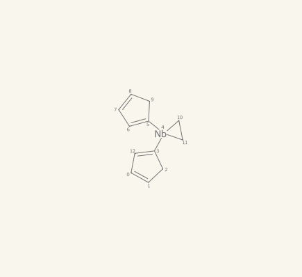 C1=CC[C]([Nb]2([C]3=CC=CC3)[CH2][CH2]2)=C1